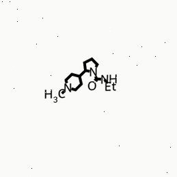 CCNC(=O)N1CCCC1C1CCN(C)CC1